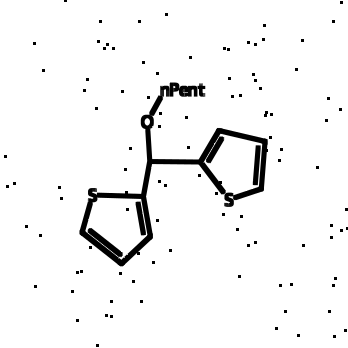 CCCCCOC(c1cccs1)c1cccs1